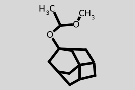 COC(C)OC12CC3CC4CC(C1)C4(C3)C2